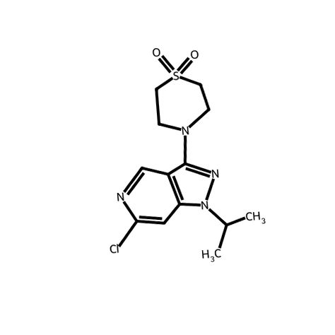 CC(C)n1nc(N2CCS(=O)(=O)CC2)c2cnc(Cl)cc21